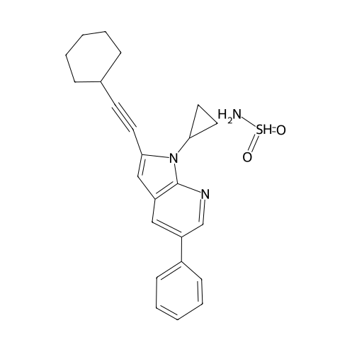 C(#CC1CCCCC1)c1cc2cc(-c3ccccc3)cnc2n1C1CC1.N[SH](=O)=O